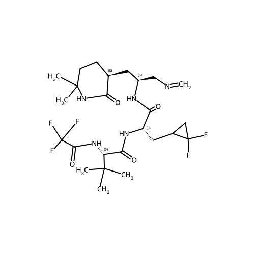 C=NC[C@H](C[C@@H]1CCC(C)(C)NC1=O)NC(=O)[C@H](CC1CC1(F)F)NC(=O)[C@@H](NC(=O)C(F)(F)F)C(C)(C)C